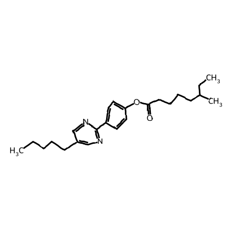 CCCCCc1cnc(-c2ccc(OC(=O)CCCCC(C)CC)cc2)nc1